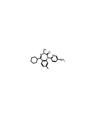 Cc1ccc2c(c1)N(c1ccc(N)cn1)C(=O)N(C(C)C)N=C2C1CCCCC1